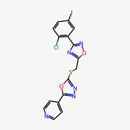 Clc1ccc(I)cc1-c1noc(CSc2nnc(-c3ccncc3)o2)n1